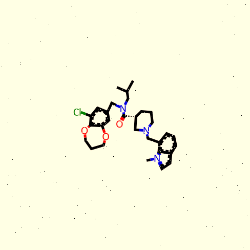 CC(C)CN(Cc1cc(Cl)c2c(c1)OCCCO2)C(=O)[C@@H]1CCCN(Cc2cccc3ccn(C)c23)C1